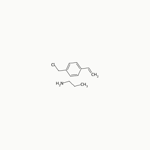 C=Cc1ccc(CCl)cc1.CCCN